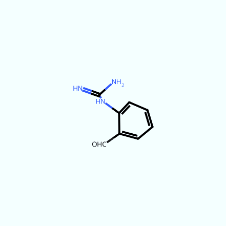 N=C(N)Nc1ccccc1C=O